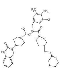 Nc1c(Cl)cc(C[C@@H](OC(O)N2CCC(N3Cc4ccccc4NC3=O)CC2)C(=O)N2CCC(CCN3CCCCC3)CC2)cc1C(F)(F)F